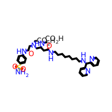 NS(=O)(=O)c1ccc(NC(=O)CN(CC(=O)O)CC(CC(=O)NCCCCCCCCNC(c2ccccn2)c2ccccn2)NCC(=O)O)cc1